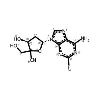 N#CC1(CO)O[C@@H](n2cnc3c(N)nc(F)nc32)C[C@@H]1O